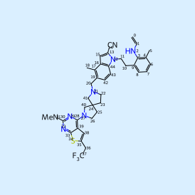 C=CNc1c(C)cccc1CCn1c(C#N)cc2c(C)c(CN3CCC4(CCN(c5nc(NC)nc6sc(CC(F)(F)F)cc56)C4)C3)ccc21